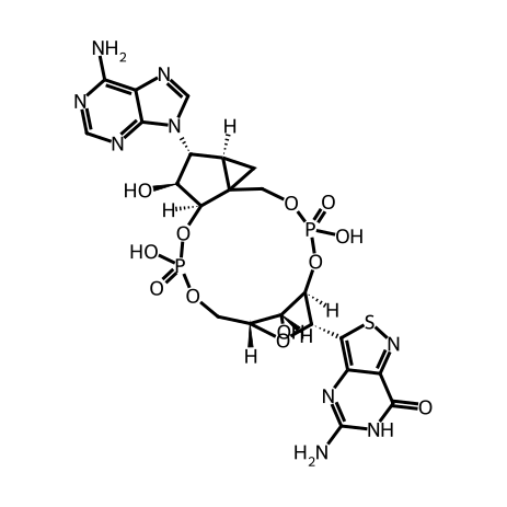 Nc1nc2c([C@@H]3O[C@@H]4COP(=O)(O)O[C@H]5[C@@H](O)[C@H](n6cnc7c(N)ncnc76)[C@H]6CC65COP(=O)(O)O[C@@H]3[C@@H]4O)snc2c(=O)[nH]1